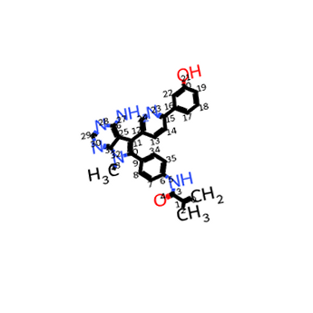 C=C(C)C(=O)Nc1ccc(-c2c(-c3ccc(-c4cccc(O)c4)nc3)c3c(N)ncnc3n2C)cc1